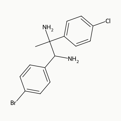 CC(N)(c1ccc(Cl)cc1)C(N)c1ccc(Br)cc1